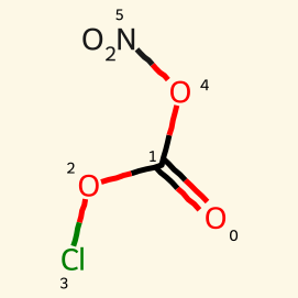 O=C(OCl)O[N+](=O)[O-]